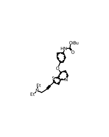 CCN(CC)CC#Cc1cc2nccc(Oc3ccc(NC(=O)OCC(C)C)cc3)c2s1